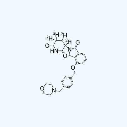 [2H]C1C([2H])([2H])C(=O)NC(=O)C1([2H])N1Cc2c(OCc3ccc(CN4CCOCC4)cc3)cccc2C1=O